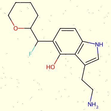 NCCc1c[nH]c2ccc(C(F)C3CCCCO3)c(O)c12